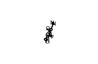 CC(=O)c1cn(CC(=O)N2C[C@H](F)C[C@H]2C(=O)NCc2cccc(Cl)c2F)c2ccc(C#Cc3cncnc3)cc12